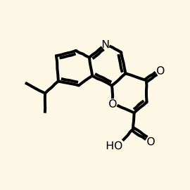 CC(C)c1ccc2ncc3c(=O)cc(C(=O)O)oc3c2c1